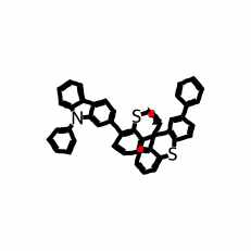 c1ccc(-c2ccc3c(c2)C2(c4ccccc4S3)c3ccccc3Sc3c(-c4ccc5c6ccccc6n(-c6ccccc6)c5c4)cccc32)cc1